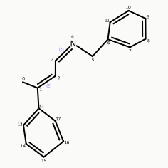 C/C(=C\C=N/Cc1ccccc1)c1ccccc1